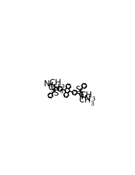 CC(C)(C#N)CC(SC(=S)c1ccccc1)c1ccc(-c2c3ccccc3c(-c3ccc(C(CC(C)(C)C#N)SC(=S)c4ccccc4)cc3)c3ccccc23)cc1